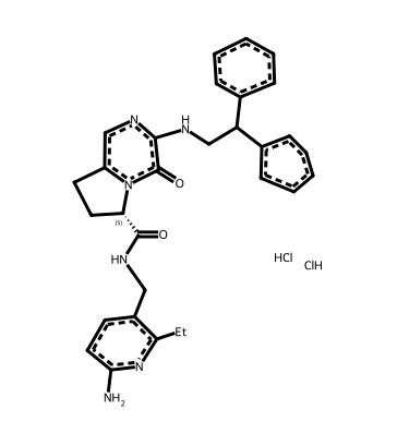 CCc1nc(N)ccc1CNC(=O)[C@@H]1CCc2cnc(NCC(c3ccccc3)c3ccccc3)c(=O)n21.Cl.Cl